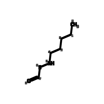 CCCCCNS[C]=O